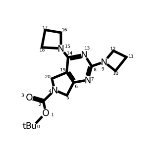 CC(C)(C)OC(=O)N1Cc2nc(N3CCC3)nc(N3CCC3)c2C1